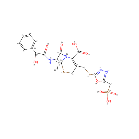 O=C(O)C1=C(CSc2nnc(CS(=O)(=O)O)o2)CS[C@H]2C(NC(=O)C(O)c3ccccc3)C(=O)N12